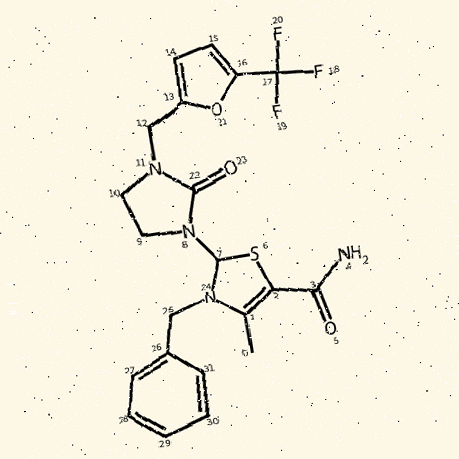 CC1=C(C(N)=O)SC(N2CCN(Cc3ccc(C(F)(F)F)o3)C2=O)N1Cc1ccccc1